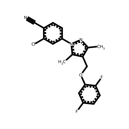 Cc1nn(-c2ccc(C#N)c(Cl)c2)c(C)c1COc1cc(F)ccc1F